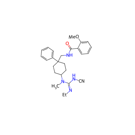 CC/N=C(/NC#N)N(C)C1CCC(CNC(=O)c2ccccc2OC)(c2ccccc2)CC1